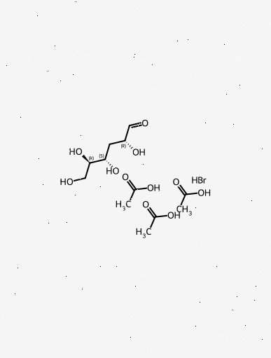 Br.CC(=O)O.CC(=O)O.CC(=O)O.O=C[C@H](O)C[C@H](O)[C@H](O)CO